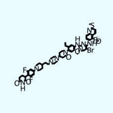 CCc1cc(Nc2ncc(Br)c(Nc3ccc4nc(SC)ccc4c3P(C)(C)=O)n2)c(OC)cc1N1CCC(N2CCN(CCC3CCN(c4cc(F)c(C5CCC(=O)NC5=O)c(F)c4)CC3)CC2)CC1=O